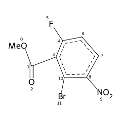 COC(=O)c1c(F)ccc([N+](=O)[O-])c1Br